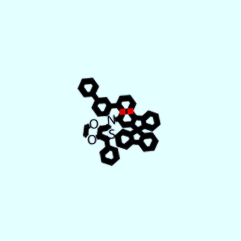 c1ccc(-c2ccc(N(c3ccc4c(c3)C3(c5ccccc5-c5ccccc53)c3ccccc3-4)c3sc(-c4ccccc4)c4c3OCCO4)c(-c3ccccc3)c2)cc1